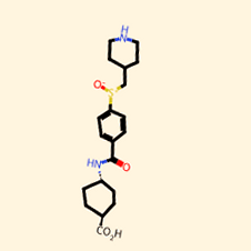 O=C(N[C@H]1CC[C@H](C(=O)O)CC1)c1ccc([S+]([O-])CC2CCNCC2)cc1